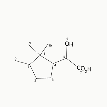 CC1CCC(C(O)C(=O)O)C1(C)C